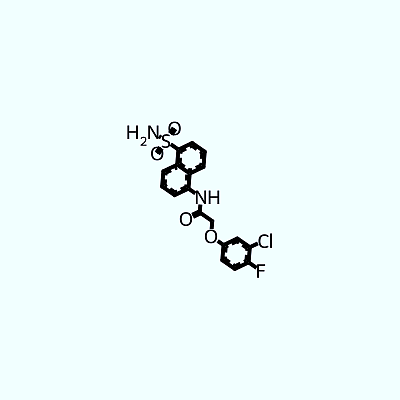 NS(=O)(=O)c1cccc2c(NC(=O)COc3ccc(F)c(Cl)c3)cccc12